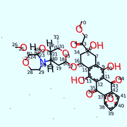 COCC(=O)[C@]1(O)Cc2c(O)c3c(c(O)c2[C@@H](O[C@H]2C[C@H]4[C@H](O[C@@H]5[C@@H](OC)OCCN54)[C@H](C)O2)C1)C(=O)c1c2cc(cc1C3=O)O2